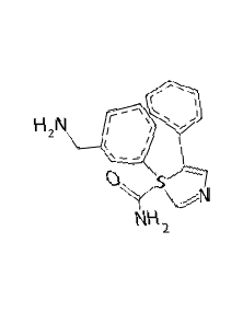 NCc1cccc(S2(C(N)=O)C=NC=C2c2ccccc2)c1